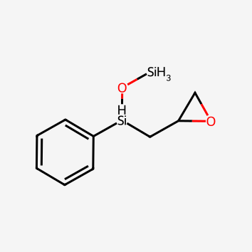 [SiH3]O[SiH](CC1CO1)c1ccccc1